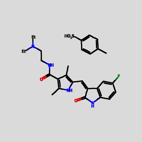 CCN(CC)CCNC(=O)c1c(C)[nH]c(/C=C2\C(=O)Nc3ccc(F)cc32)c1C.Cc1ccc(S(=O)(=O)O)cc1